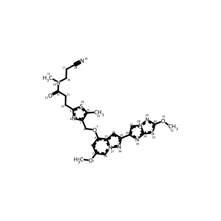 COc1cc(OCc2nc(CCC(=O)N(C)CCC#N)sc2C)c2cc(-c3cn4nc(OC)sc4n3)nn2c1